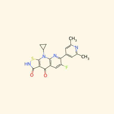 Cc1cc(-c2nc3c(cc2F)c(=O)c2c(=O)[nH]sc2n3C2CC2)cc(C)n1